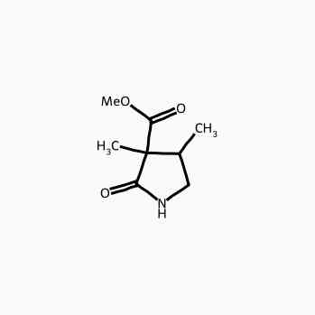 COC(=O)C1(C)C(=O)NCC1C